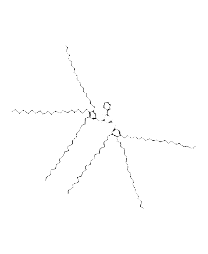 CCCCCCCCCCCCCCCCCCCCc1cc(Nc2nc(Nc3cc(CCCCCCCCCCCCCCCCCCCC)c(CCCCCCCCCCCCCCCCCCCC)c(CCCCCCCCCCCCCCCCCCCC)c3)nc(-c3cc[c]cc3)n2)cc(CCCCCCCCCCCCCCCCCCCC)c1CCCCCCCCCCCCCCCCCCCC